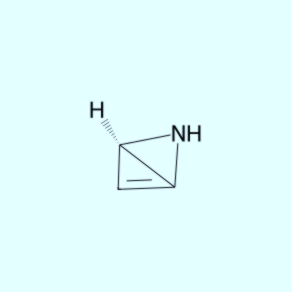 C1=C2N[C@H]12